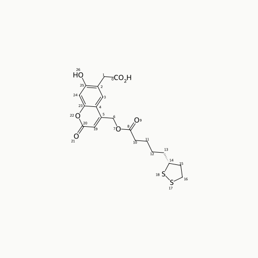 O=C(O)Cc1cc2c(COC(=O)CCCC[C@@H]3CCSS3)cc(=O)oc2cc1O